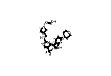 FC(F)(F)c1cnc(NCC2CCNC2)nc1-c1c[nH]c2nc(N3CCOCC3)ccc12.O=CO